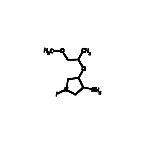 COCC(C)OC1CN(I)CC1N